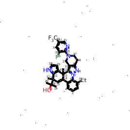 CCc1cccc2c1-n1nc3c(c1C1(C)C2=CC(C)(C(C)(C)O)c2[nH]ccc21)CN(c1ncc(C(F)(F)F)cc1F)CC3